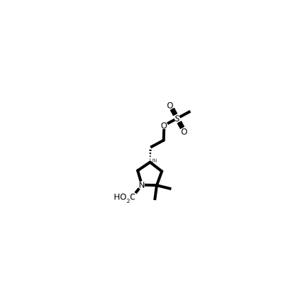 CC1(C)C[C@@H](CCOS(C)(=O)=O)CN1C(=O)O